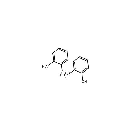 Nc1ccccc1C(=O)O.O=C(O)c1ccccc1O